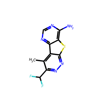 Cc1c(C(F)F)nnc2sc3c(N)ncnc3c12